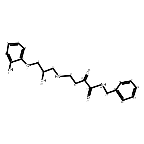 N#Cc1ccccc1OCC(O)CNCCC(=O)C(=O)NCc1ccccc1